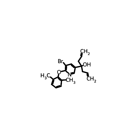 C=CCC(O)(CC=C)c1cnc(Oc2c(C)cccc2C)c(Br)c1